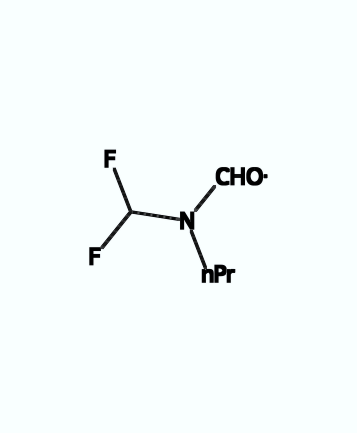 CCCN([C]=O)C(F)F